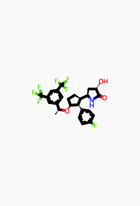 C[C@@H](O[C@H]1CC[C@@H]([C@H]2C[C@H](O)C(=O)N2)[C@@H]1c1ccc(F)cc1)c1cc(C(F)(F)F)cc(C(F)(F)F)c1